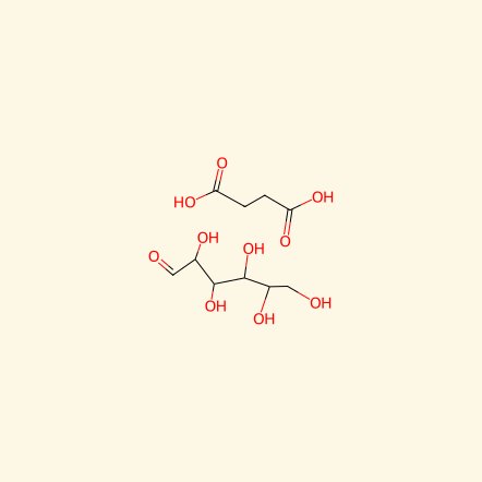 O=C(O)CCC(=O)O.O=CC(O)C(O)C(O)C(O)CO